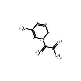 C=C(C(N)=O)N1C=C(C)C=CC1